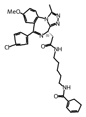 COc1ccc2c(c1)C(c1ccc(Cl)cc1)=N[C@@H](CC(=O)NCCCCCNC(=O)C1=CC=CCC1)c1nnc(C)n1-2